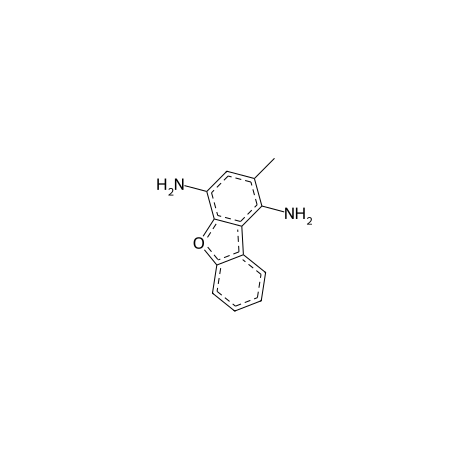 Cc1cc(N)c2oc3ccccc3c2c1N